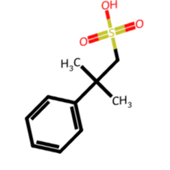 CC(C)(CS(=O)(=O)O)c1ccccc1